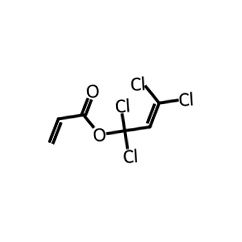 C=CC(=O)OC(Cl)(Cl)C=C(Cl)Cl